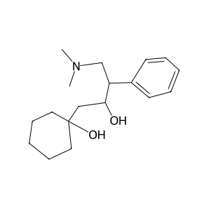 CN(C)CC(c1ccccc1)C(O)CC1(O)CCCCC1